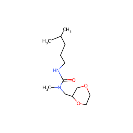 CC(C)CCCNC(=O)N(C)CC1COCCO1